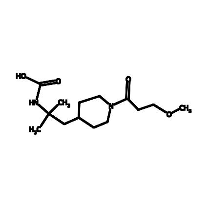 COCCC(=O)N1CCC(CC(C)(C)NC(=O)O)CC1